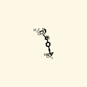 CNC1(C#Cc2ccc(-c3cc(Cn4ccnc4C(C)O)no3)cc2)CC1